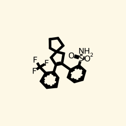 NS(=O)(=O)c1ccccc1C1=C(c2ccccc2C(F)(F)F)CC2(CCCC2)C1